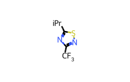 CC(C)c1nc(C(F)(F)F)ns1